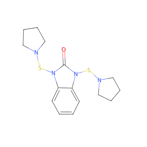 O=c1n(SN2CCCC2)c2ccccc2n1SN1CCCC1